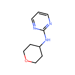 c1cnc(NC2CCOCC2)nc1